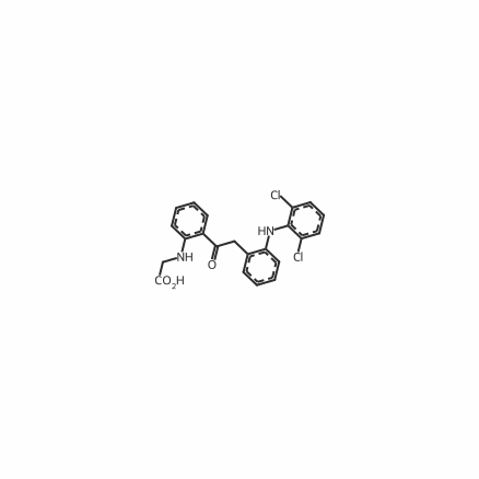 O=C(O)CNc1ccccc1C(=O)Cc1ccccc1Nc1c(Cl)cccc1Cl